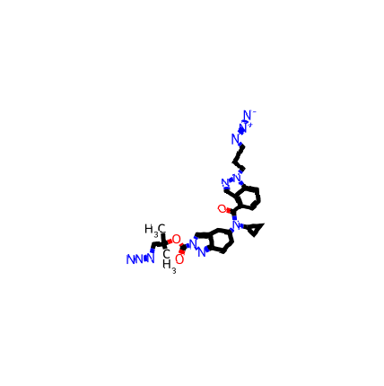 CC(C)(CN=[N+]=[N-])OC(=O)n1cc2c(n1)CCC(N(C(=O)c1cccc3c1cnn3CCCN=[N+]=[N-])C1CC1)C2